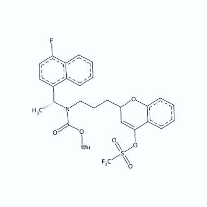 C[C@H](c1ccc(F)c2ccccc12)N(CCCC1C=C(OS(=O)(=O)C(F)(F)F)c2ccccc2O1)C(=O)OC(C)(C)C